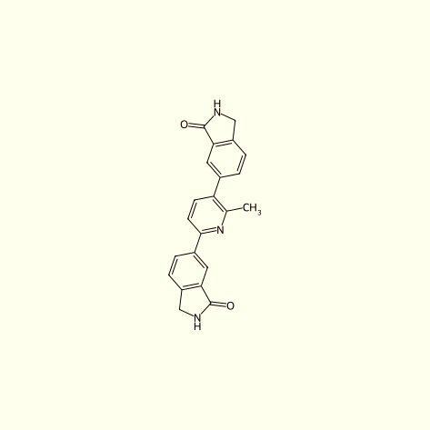 Cc1nc(-c2ccc3c(c2)C(=O)NC3)ccc1-c1ccc2c(c1)C(=O)NC2